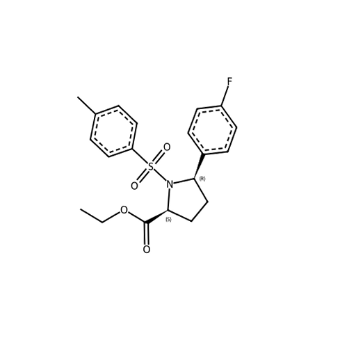 CCOC(=O)[C@@H]1CC[C@H](c2ccc(F)cc2)N1S(=O)(=O)c1ccc(C)cc1